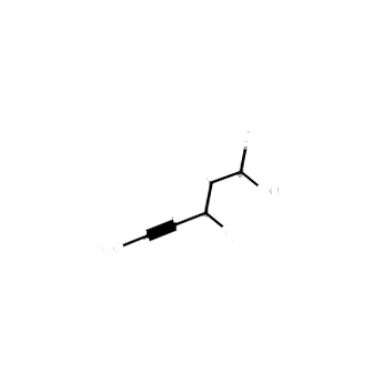 CC#CC(O)CC(O)CC